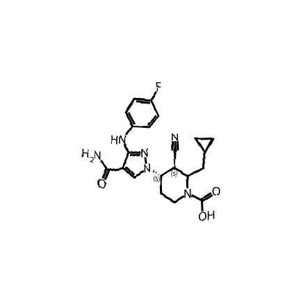 N#C[C@H]1C(CC2CC2)N(C(=O)O)CC[C@@H]1n1cc(C(N)=O)c(Nc2ccc(F)cc2)n1